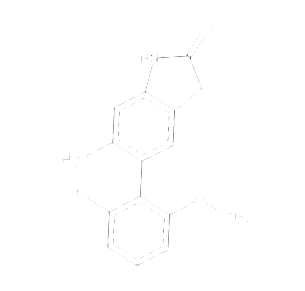 COc1cccc(F)c1-c1cc2c(cc1C)NC(=O)C2